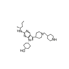 CCC[C@H](C)Nc1ncc2c(C3CCN(CC4CCNCC4)CC3)cn([C@H]3CC[C@H](O)CC3)c2n1